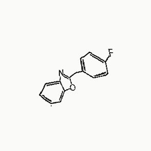 Fc1ccc(-c2nc3cc[c]cc3o2)cc1